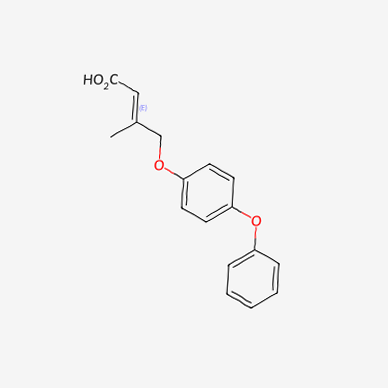 C/C(=C\C(=O)O)COc1ccc(Oc2ccccc2)cc1